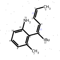 C/C=C\C=C(/c1c(C)cccc1N)C(C)(C)C